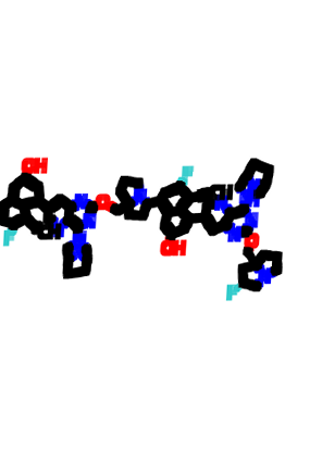 C#Cc1c(F)ccc2cc(O)cc(-c3cnc4c(N5CC6CCC(C5)N6)nc(OCC56CCCN5C(c5cc(F)c(C#C)c7c(-c8cnc9c(N%10CC%11CCC(C%10)N%11)nc(OC[C@@]%10%11CCCN%10C[C@H](F)C%11)nc9c8)cc(O)cc57)CC6)nc4c3)c12